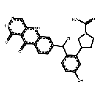 NC(=O)N1CCC(c2cc(O)ccc2C(Cl)c2ccc3c(=O)c4c(=O)[nH]ncc4[nH]c3c2)C1